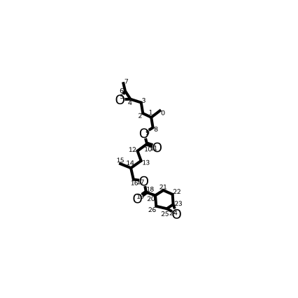 CC(CCC1OC1C)COC(=O)CCC(C)COC(=O)C1CCC2OC2C1